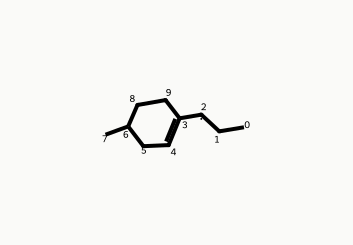 CC[CH]C1=CCC(C)CC1